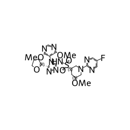 COc1ncnc(OC)c1-n1c(NS(=O)(=O)[C@H]2C[C@H](OC)CN(c3ncc(F)cn3)C2)nnc1[C@H]1CCCO1